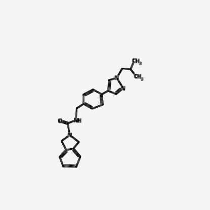 CC(C)Cn1cc(-c2ccc(CNC(=O)N3Cc4ccccc4C3)cc2)cn1